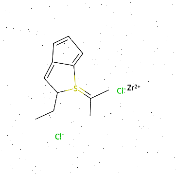 CCC1C=C2C=CC=C2S1=C(C)C.[Cl-].[Cl-].[Zr+2]